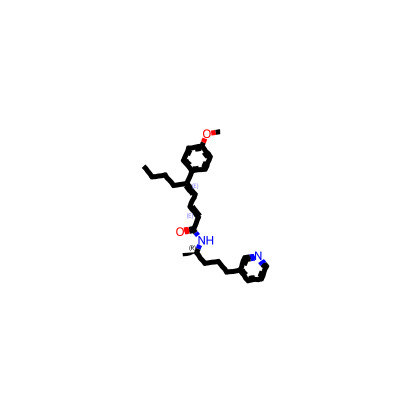 CCCC/C(=C\C=C\C(=O)N[C@H](C)CCCc1cccnc1)c1ccc(OC)cc1